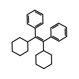 c1ccc(C(=C(c2ccccc2)C2CCCCC2)C2CCCCC2)cc1